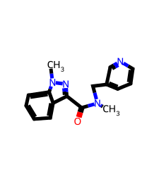 CN(Cc1cccnc1)C(=O)c1nn(C)c2ccccc12